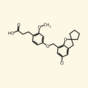 COc1cc(OCc2cc(Cl)cc3c2OC2(CCCC2)C3)ccc1CCC(=O)O